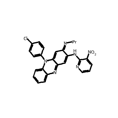 CC(C)N=c1cc2n(-c3ccc(Cl)cc3)c3ccccc3nc-2cc1Nc1ncccc1[N+](=O)[O-]